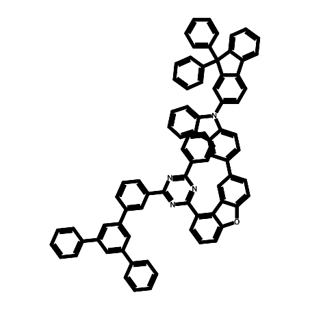 c1ccc(-c2cc(-c3ccccc3)cc(-c3cccc(-c4nc(-c5ccccc5)nc(-c5cccc6oc7ccc(-c8ccc9c(c8)c8ccccc8n9-c8ccc9c(c8)C(c8ccccc8)(c8ccccc8)c8ccccc8-9)cc7c56)n4)c3)c2)cc1